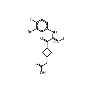 O=C(O)CC1CC(C(=O)/C(=N/I)Nc2ccc(F)c(Br)c2)C1